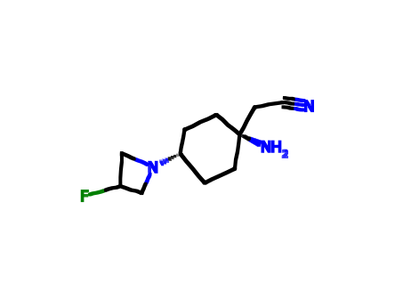 N#CC[C@]1(N)CC[C@H](N2CC(F)C2)CC1